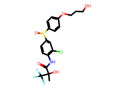 CC(O)(C(=O)Nc1ccc([S+]([O-])c2ccc(OCCCO)cc2)cc1Cl)C(F)(F)F